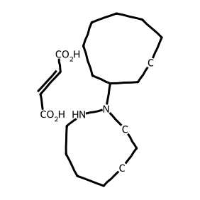 C1CCCCC(N2CCCCCCCN2)CCC1.O=C(O)C=CC(=O)O